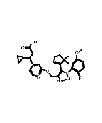 COc1ccc(F)c(N2NNC(COc3cc(C(CC(=O)O)C4CC4)ccn3)=C2C2=CCCC2(C)C)c1